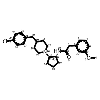 COc1cccc(CC(=O)N[C@@H]2CCC[C@H]2N2CCC(Cc3ccc(Cl)cc3)CC2)c1